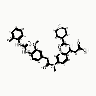 COc1cc(CC(=O)N(C)c2ccc(C(CC(=O)O)NC(=O)C3CCOCC3)nc2)ccc1NC(=O)Nc1ccccc1C